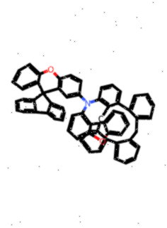 c1ccc2c(c1)Cc1ccccc1-c1cccc(N(c3ccc4c(c3)C3(c5ccccc5O4)c4ccccc4-c4ccccc43)c3cccc4oc5ccccc5c34)c1Cc1ccccc1-2